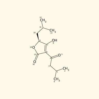 CC(C)CC(=O)C1=C(O)[C@H](CC(C)C)OC1=O